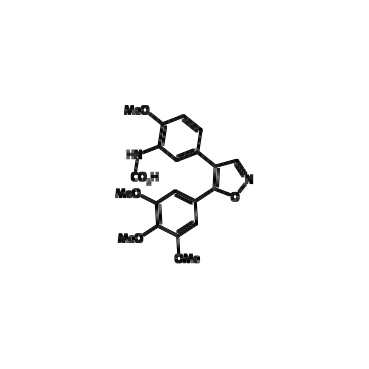 COc1ccc(-c2cnoc2-c2cc(OC)c(OC)c(OC)c2)cc1NC(=O)O